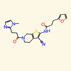 Cn1ccnc1CCC(=O)N1CCc2c(sc(NC(=O)CCc3ccco3)c2C#N)C1